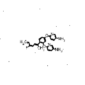 C=C/C(F)=C\C=C(/C)c1ccc(Oc2ccc(N)cn2)cc1Oc1ccc(N)cn1